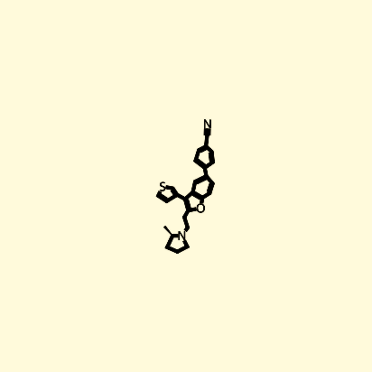 C[C@@H]1CCCN1CCc1oc2ccc(-c3ccc(C#N)cc3)cc2c1-c1ccsc1